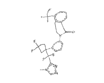 Cn1cnnc1C(F)(F)C1(c2cccc(N3Cc4c(cccc4C(F)(F)F)C3=O)c2)CC(F)(F)C1